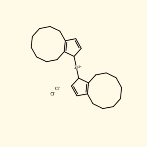 C1=C[CH]([Zr+2][CH]2C=CC3=C2CCCCCCCC3)C2=C1CCCCCCCC2.[Cl-].[Cl-]